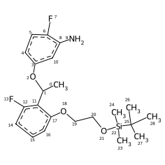 CC(Oc1ccc(F)c(N)c1)c1c(F)cccc1OCCO[Si](C)(C)C(C)(C)C